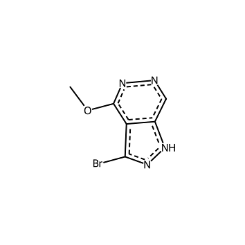 COc1nncc2[nH]nc(Br)c12